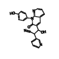 N#CC(c1cccnc1)C(O)c1cc2cccnc2n(-c2ccc(O)cc2)c1=O